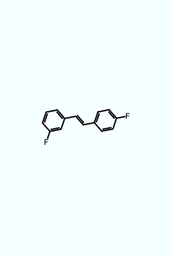 Fc1ccc(C=Cc2cccc(F)c2)cc1